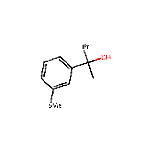 CSc1cccc(C(C)(O)C(C)C)c1